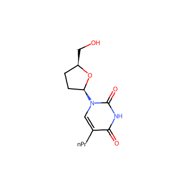 CCCc1cn([C@H]2CC[C@@H]([CH]O)O2)c(=O)[nH]c1=O